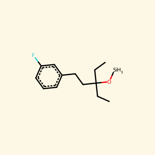 CCC(CC)(CCc1cccc(F)c1)O[SiH3]